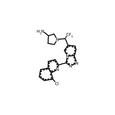 NC1CCN([C@H](c2ccc3nnc(-c4ccc5cccc(Cl)c5n4)n3c2)C(F)(F)F)C1